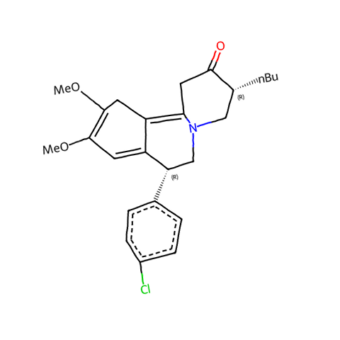 CCCC[C@@H]1CN2C[C@H](c3ccc(Cl)cc3)C3=CC(OC)=C(OC)CC3=C2CC1=O